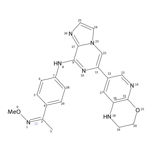 CO/N=C(/C)c1ccc(Nc2nc(-c3cnc4c(c3)NCCO4)cn3ccnc23)cc1